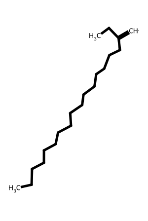 [CH]=C(CC)CCCCCCCCCCCCCCCC